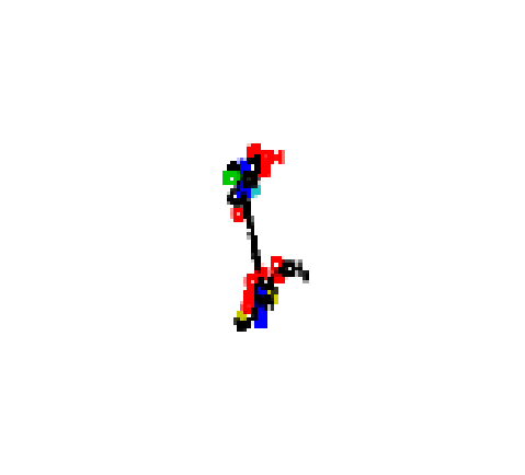 CC(=O)OCC1=C(C(=O)OCCCCCCCCCCC(=O)C[C@H]2CCCCN(c3c(F)cc4c(=O)c(C(=O)O)cn(C5CC5)c4c3Cl)C2)N2C(=O)[C@@H](NC(=O)Cc3cccs3)[C@H]2SC1